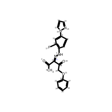 CC(=O)/C(=N/Nc1ccc(-n2cccn2)cc1F)C(=O)COc1ccccc1